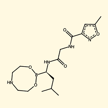 Cc1cc(C(=O)NCC(=O)N[C@@H](CC(C)C)B2OCCNCCO2)no1